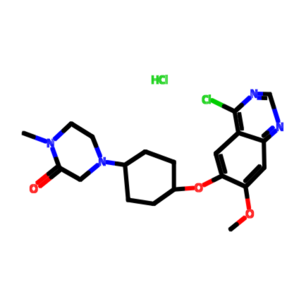 COc1cc2ncnc(Cl)c2cc1OC1CCC(N2CCN(C)C(=O)C2)CC1.Cl